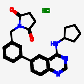 Cl.O=C1CCC(=O)N1Cc1cccc(-c2ccc3ncnc(NC4CCCC4)c3c2)c1